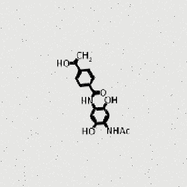 C=C(O)c1ccc(C(=O)Nc2cc(O)c(NC(C)=O)cc2O)cc1